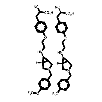 N#CC(Cc1ccc(OCCN[C@H]2C3CN(Cc4ccc(OC(F)(F)F)cc4)C[C@@H]32)cc1)C(=O)O.N#C[C@H](Cc1ccc(OCCN[C@H]2C3CN(Cc4ccc(C(F)(F)F)cc4)C[C@@H]32)cc1)C(=O)O